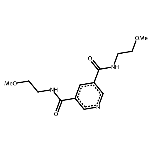 COCCNC(=O)c1cncc(C(=O)NCCOC)c1